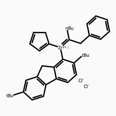 CCCC/[C](Cc1ccccc1)=[Zr+2](\[C]1=CC=CC1)[c]1c(C(C)(C)C)ccc2c1Cc1cc(C(C)(C)C)ccc1-2.[Cl-].[Cl-]